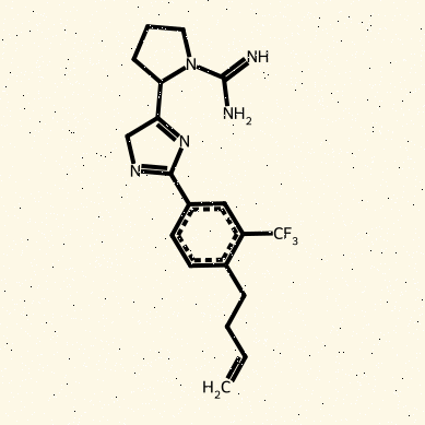 C=CCCc1ccc(C2=NCC(C3CCCN3C(=N)N)=N2)cc1C(F)(F)F